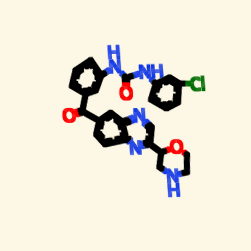 O=C(Nc1cccc(Cl)c1)Nc1cccc(C(=O)c2ccc3nc(C4CNCCO4)cnc3c2)c1